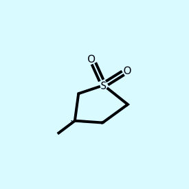 C[C]1CCS(=O)(=O)C1